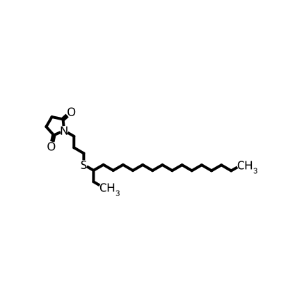 CCCCCCCCCCCCCCCC(CC)SCCCN1C(=O)CCC1=O